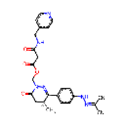 C[C@@H]1CC(=O)N(COC(=O)CC(=O)NCc2ccncc2)N=C1c1ccc(NN=C(C#N)C#N)cc1